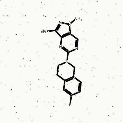 CCCc1nn(C)c2cnc(N3CCc4cc(F)ccc4C3)nc12